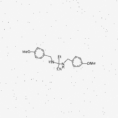 CCC(C#N)(NCc1ccc(OC)cc1)NCc1ccc(OC)cc1